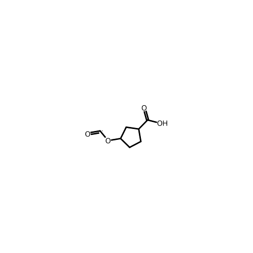 O=[C]OC1CCC(C(=O)O)C1